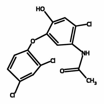 CC(=O)Nc1cc(Oc2ccc(Cl)cc2Cl)c(O)cc1Cl